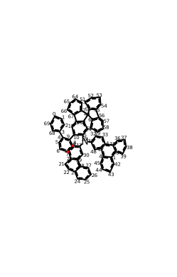 c1ccc(-c2ccccc2-c2cc3c(cc2N(c2ccc4ccc5ccccc5c4c2)c2ccc4c5ccccc5c5ccccc5c4c2)C2(c4ccccc4-c4ccccc42)c2ccccc2-3)cc1